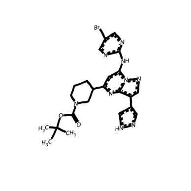 CC(C)(C)OC(=O)N1CCCC(c2cc(Nc3ncc(Br)cn3)n3ncc(-c4cn[nH]c4)c3n2)C1